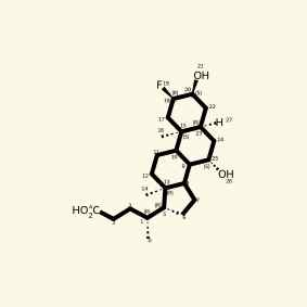 C[C@H](CCC(=O)O)[C@H]1CCC2C3C(CC[C@@]21C)[C@@]1(C)C[C@@H](F)[C@@H](O)C[C@H]1C[C@@H]3O